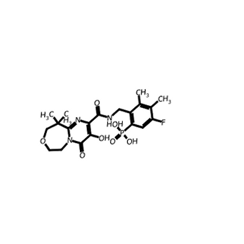 Cc1c(F)cc(P(=O)(O)O)c(CNC(=O)c2nc3n(c(=O)c2O)CCOCC3(C)C)c1C